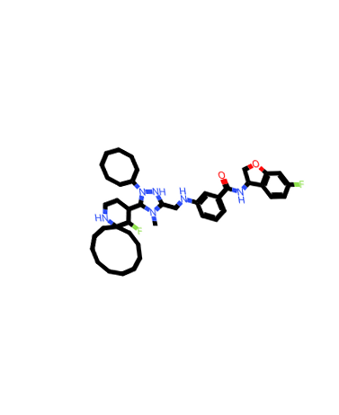 CN1C(CNc2cccc(C(=O)NC3COc4cc(F)ccc43)c2)NN(C2CCCCCCC2)C1C1CCNC2(CCCCCCCCCC2)C1F